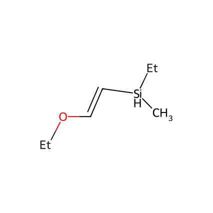 CCOC=C[SiH](C)CC